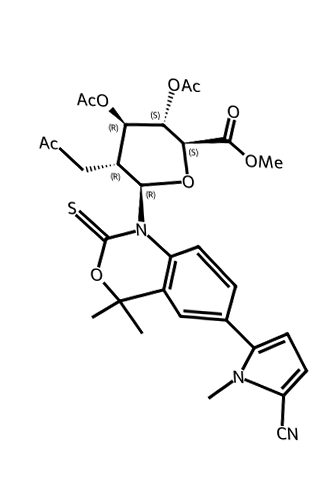 COC(=O)[C@H]1O[C@@H](N2C(=S)OC(C)(C)c3cc(-c4ccc(C#N)n4C)ccc32)[C@H](CC(C)=O)[C@@H](OC(C)=O)[C@@H]1OC(C)=O